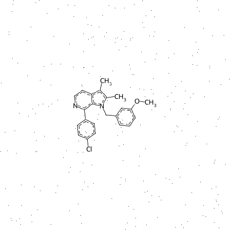 COc1cccc(Cn2c(C)c(C)c3ccnc(-c4ccc(Cl)cc4)c32)c1